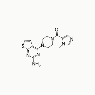 Cn1cncc1C(=O)N1CCN(c2nc(N)nc3sccc23)CC1